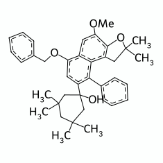 COc1cc2c(OCc3ccccc3)cc(C3(O)CC(C)(C)CC(C)(C)C3)c(-c3ccccc3)c2c2c1OC(C)(C)C2